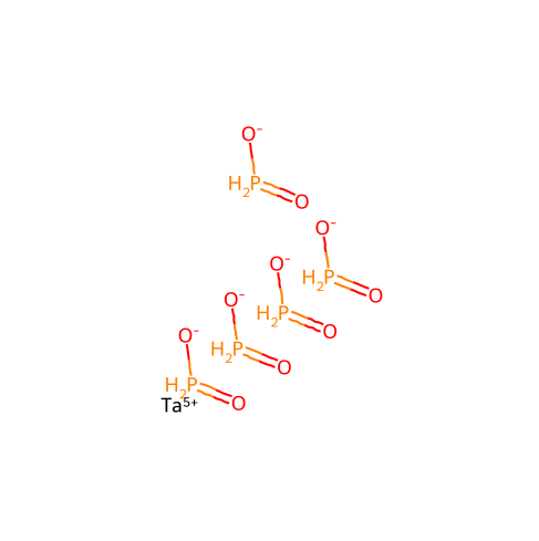 O=[PH2][O-].O=[PH2][O-].O=[PH2][O-].O=[PH2][O-].O=[PH2][O-].[Ta+5]